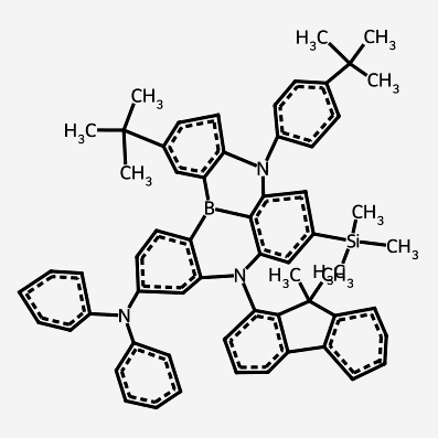 CC(C)(C)c1ccc(N2c3ccc(C(C)(C)C)cc3B3c4ccc(N(c5ccccc5)c5ccccc5)cc4N(c4cccc5c4C(C)(C)c4ccccc4-5)c4cc([Si](C)(C)C)cc2c43)cc1